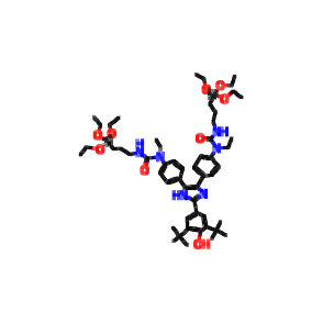 CCO[Si](CCCNC(=O)N(CC)c1ccc(-c2nc(-c3cc(C(C)(C)C)c(O)c(C(C)(C)C)c3)[nH]c2-c2ccc(N(CC)C(=O)NCCC[Si](OCC)(OCC)OCC)cc2)cc1)(OCC)OCC